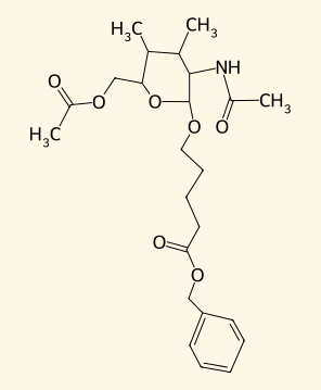 CC(=O)NC1C(OCCCCC(=O)OCc2ccccc2)OC(COC(C)=O)C(C)C1C